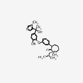 CN(C)C[N+]1(C)CCCCC(c2cccc(Oc3cc(C(C)(O)c4cncn4C)ccc3C#N)c2)C1=O